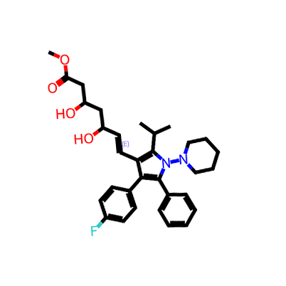 COC(=O)CC(O)CC(O)/C=C/c1c(-c2ccc(F)cc2)c(-c2ccccc2)n(N2CCCCC2)c1C(C)C